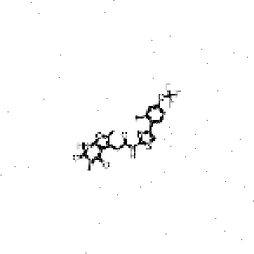 Cc1oc2[nH]c(=O)n(C)c(=O)c2c1CC(=O)Nc1nc(-c2ccc(OC(F)(F)F)cc2F)cs1